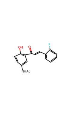 CC(=O)Nc1ccc(O)c(C(=O)/C=C/c2ccccc2F)c1